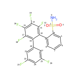 NS(=O)(=O)c1ccccc1-c1c(F)c(F)c(F)c(F)c1-c1cc(F)cc(F)c1